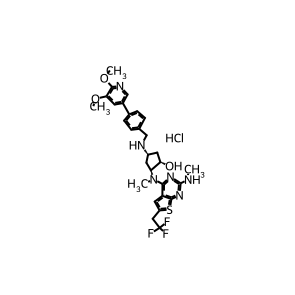 CNc1nc(N(C)[C@H]2C[C@@H](NCc3ccc(-c4cnc(OC)c(OC)c4)cc3)C[C@H]2O)c2cc(CC(F)(F)F)sc2n1.Cl